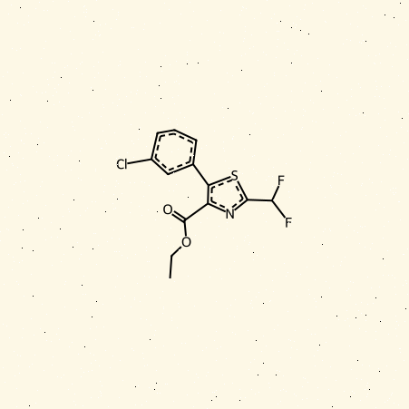 CCOC(=O)c1nc(C(F)F)sc1-c1cccc(Cl)c1